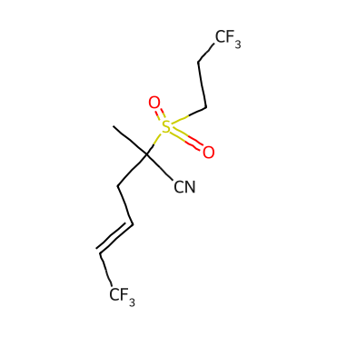 CC(C#N)(C/C=C/C(F)(F)F)S(=O)(=O)CCC(F)(F)F